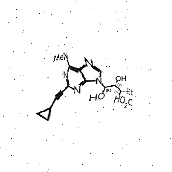 CC[C@H](C(=O)O)[C@@H](O)[C@@H](O)n1cnc2c(NC)nc(C#CC3CC3)nc21